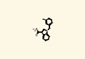 Cc1cccc(Cn2cc(C(N)=O)c3ccccc32)c1